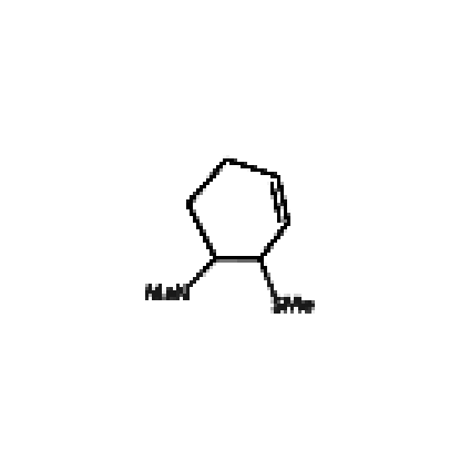 CNC1CCC=CC1SC